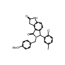 COc1ccc(CN2C(=O)c3c(ccc4c3CC(=O)N4)C2c2cc(F)ccc2Cl)cc1